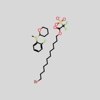 C[S+](c1ccccc1F)C1CCCCO1.O=C(OCCCCCCCCCCCCBr)C(F)(F)S(=O)(=O)[O-]